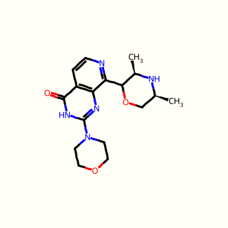 C[C@H]1COC(c2nccc3c(=O)[nH]c(N4CCOCC4)nc23)[C@@H](C)N1